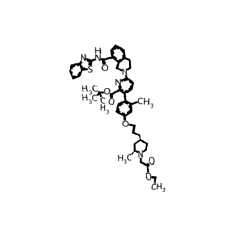 CCOC(=O)CN1CC[C@H](CCCOc2ccc(-c3ccc(N4CCc5cccc(C(=O)Nc6nc7ccccc7s6)c5C4)nc3C(=O)OC(C)(C)C)c(C)c2)C[C@@H]1C